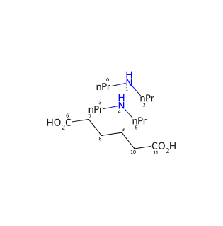 CCCNCCC.CCCNCCC.O=C(O)CCCCC(=O)O